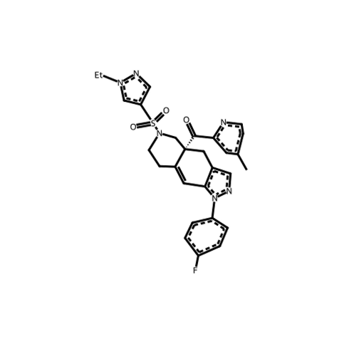 CCn1cc(S(=O)(=O)N2CCC3=Cc4c(cnn4-c4ccc(F)cc4)C[C@]3(C(=O)c3cc(C)ccn3)C2)cn1